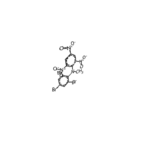 CN(c1c(Br)cc(Br)cc1Br)c1c([N+](=O)[O-])cc([N+](=O)[O-])cc1[N+](=O)[O-]